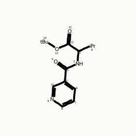 CC(C)C(NC(=O)c1cccnc1)C(=O)OC(C)(C)C